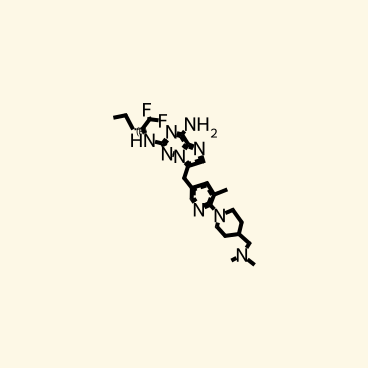 CCC[C@@H](Nc1nc(N)c2ncc(Cc3cnc(N4CCC(CN(C)C)CC4)c(C)c3)n2n1)C(F)F